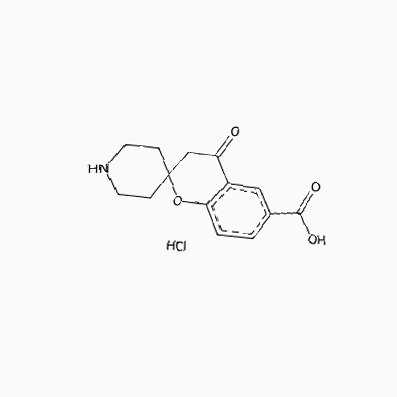 Cl.O=C(O)c1ccc2c(c1)C(=O)CC1(CCNCC1)O2